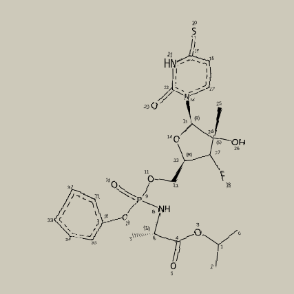 CC(C)OC(=O)[C@H](C)NP(=O)(OC[C@H]1O[C@@H](n2ccc(=S)[nH]c2=O)[C@](C)(O)C1F)Oc1ccccc1